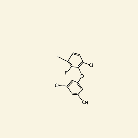 Cc1ccc(Cl)c(Oc2cc(Cl)cc(C#N)c2)c1F